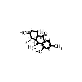 C=C1c2c(O)cc(C)cc2C(=O)[C@@H]2CC[C@H](O)[C@@H](I)[C@@H]12